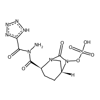 NN(C(=O)c1nnn[nH]1)C(=O)[C@@H]1CC[C@@H]2CN1C(=O)N2OS(=O)(=O)O